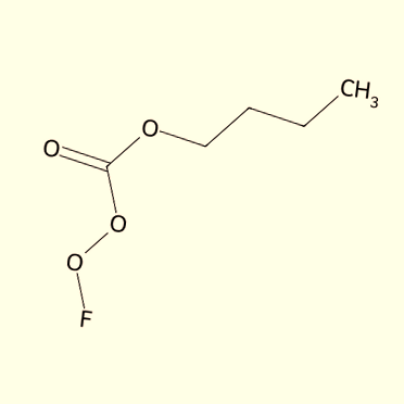 CCCCOC(=O)OOF